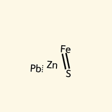 [Pb].[S]=[Fe].[Zn]